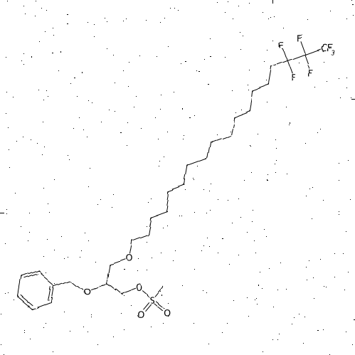 CS(=O)(=O)OCC(COCCCCCCCCCCCCCCCC(F)(F)C(F)(F)C(F)(F)F)OCc1ccccc1